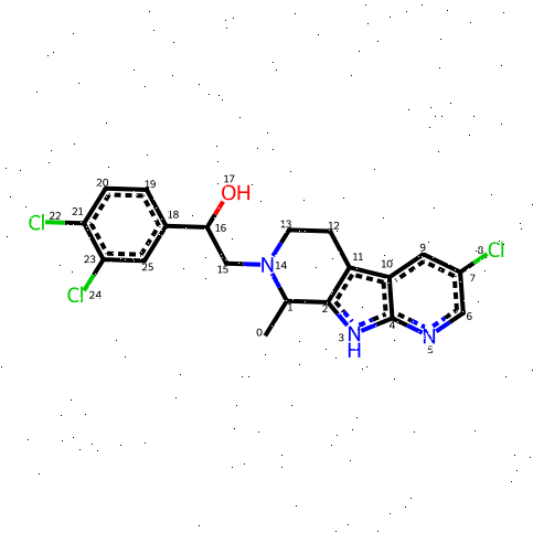 CC1c2[nH]c3ncc(Cl)cc3c2CCN1CC(O)c1ccc(Cl)c(Cl)c1